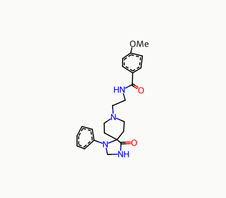 COc1ccc(C(=O)NCCN2CCC3(CC2)C(=O)NCN3c2ccccc2)cc1